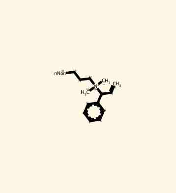 C=CC(c1ccccc1)[N+](C)(C)CCCCCCCCCCCC